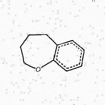 [C]1CCOc2ccccc2C1